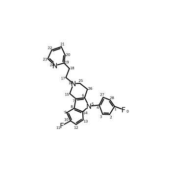 Fc1ccc(-n2c3c(c4cc(F)ccc42)CN(CCc2ccccn2)CC3)cc1